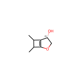 CC1C2=C(C1C)[C@H](O)CO2